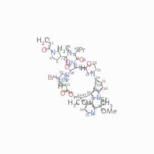 C=CC(=O)N1CC[C@H](C(=O)N(C)[C@H](C(=O)NC2C[C@@H]3CN(CCO3)c3ccc4c(c3)c(c(-c3cccnc3[C@H](C)OC)n4CC)CC(C)(C)COC(=O)[C@@H]3CC(Br)CN(N3)C2=O)C(C)C)C1